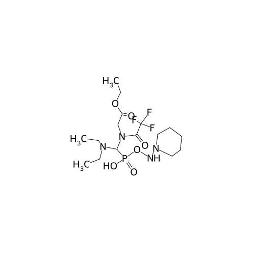 CCOC(=O)CN(C(=O)C(F)(F)F)C(N(CC)CC)P(=O)(O)ONN1CCCCC1